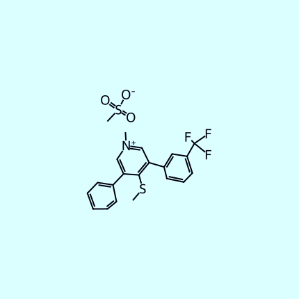 CS(=O)(=O)[O-].CSc1c(-c2ccccc2)c[n+](C)cc1-c1cccc(C(F)(F)F)c1